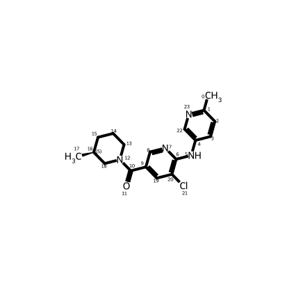 Cc1ccc(Nc2ncc(C(=O)N3CCC[C@H](C)C3)cc2Cl)cn1